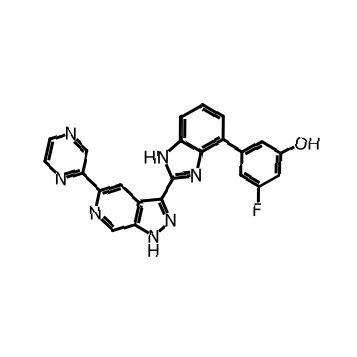 Oc1cc(F)cc(-c2cccc3[nH]c(-c4n[nH]c5cnc(-c6cnccn6)cc45)nc23)c1